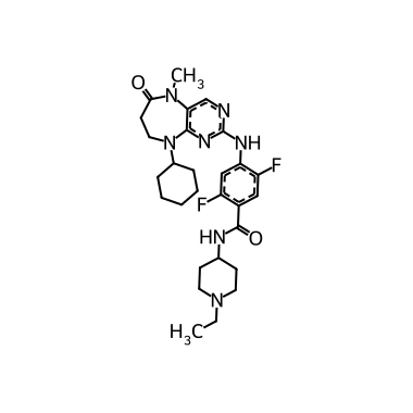 CCN1CCC(NC(=O)c2cc(F)c(Nc3ncc4c(n3)N(C3CCCCC3)CCC(=O)N4C)cc2F)CC1